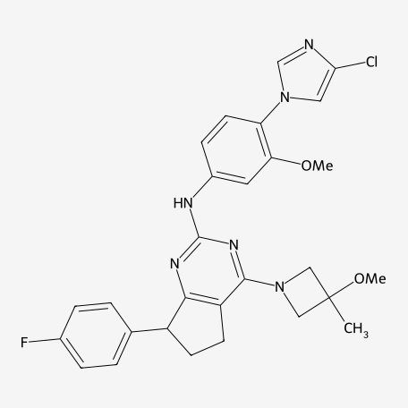 COc1cc(Nc2nc3c(c(N4CC(C)(OC)C4)n2)CCC3c2ccc(F)cc2)ccc1-n1cnc(Cl)c1